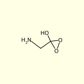 NCC1(O)OO1